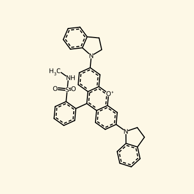 CNS(=O)(=O)c1ccccc1-c1c2ccc(N3CCc4ccccc43)cc2[o+]c2cc(N3CCc4ccccc43)ccc12